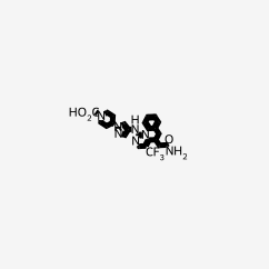 NC(=O)CC(Cc1ccccc1)c1nc(Nc2cnn(C3CCN(C(=O)O)CC3)c2)ncc1C(F)(F)F